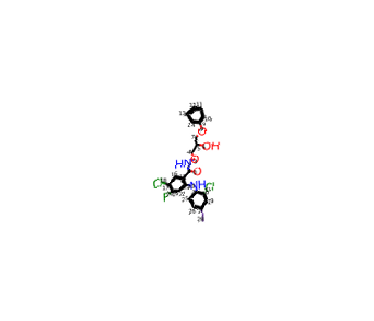 O=C(NOCC(O)COc1ccccc1)c1cc(Cl)c(F)cc1Nc1ccc(I)cc1Cl